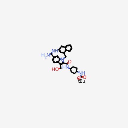 CC(C)(C)OC(=O)NC1CCC(NC(=O)c2c(CO)c3ccc(C(=N)N)cc3n2Cc2cccc3ccccc23)CC1